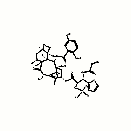 COc1ccc(OC)c(C(=O)O[C@H]2[C@@H]3[C@]4(OC(C)=O)CO[C@@H]4C[C@H](C)[C@@]3(C)C(=O)[C@H](OC(C)=O)C3=C(C)[C@@H](OC(=O)[C@H](O[Si](C(C)C)(C(C)C)C(C)C)[C@@H](NC(=O)OC(C)(C)C)c4ccco4)C[C@]2(O)C3(C)C)c1